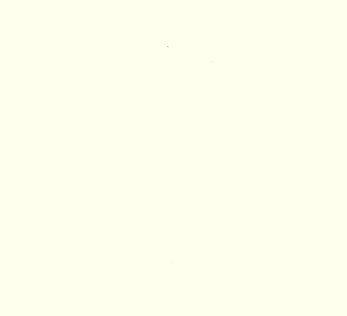 CC(C)(C)P(COc1cccc(OCP(C(C)(C)C)C(C)(C)C)c1)C(C)(C)C